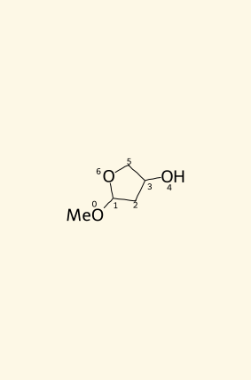 COC1CC(O)CO1